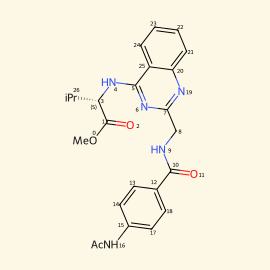 COC(=O)[C@@H](Nc1nc(CNC(=O)c2ccc(NC(C)=O)cc2)nc2ccccc12)C(C)C